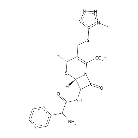 C[C@H]1S[C@H]2C(NC(=O)C(N)c3ccccc3)C(=O)N2C(C(=O)O)=C1CSc1nnnn1C